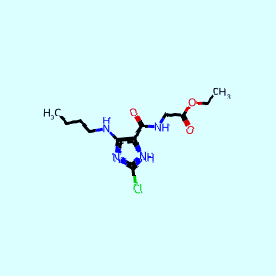 CCCCNc1nc(Cl)[nH]c1C(=O)NCC(=O)OCC